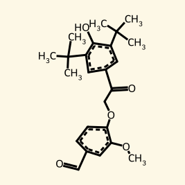 COc1cc(C=O)ccc1OCC(=O)c1cc(C(C)(C)C)c(O)c(C(C)(C)C)c1